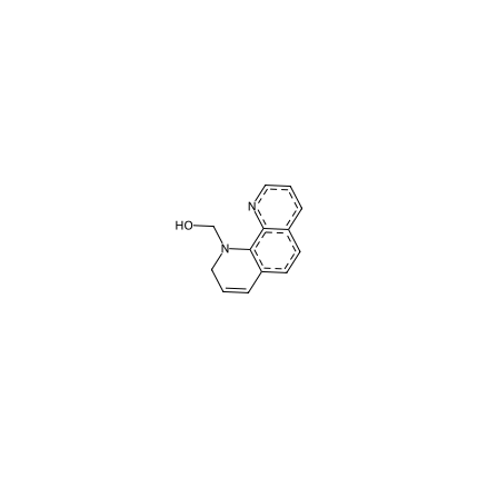 OCN1CC=Cc2ccc3cccnc3c21